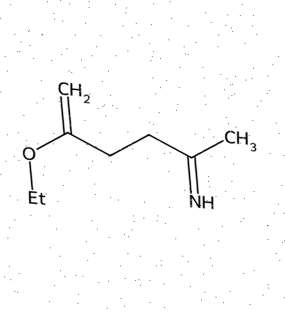 C=C(CCC(C)=N)OCC